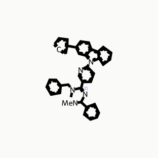 CNC(/N=C(/c1ccc(-n2c3ccccc3c3ccc(-c4ccccc4)cc32)nc1)N(C)Cc1ccccc1)c1ccccc1